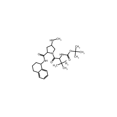 CNC1CC(C(=O)NC2CCCc3ccccc32)N(C(=O)C(NC(=O)OC(C)(C)C)C(C)(C)C)C1